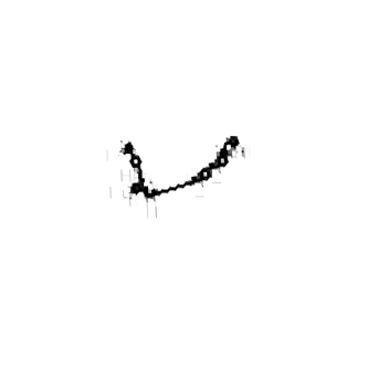 Cc1ncsc1-c1ccc(CNC(=O)[C@@H]2C[C@@H](O)CN2C(=O)[C@@H](NC(=O)CCCCCCCCCC(=O)Nc2ccc(C(=O)Nc3ccc4[nH]c(CN5CCC[C@@H]5C)nc4c3)cc2)C(C)(C)C)cc1